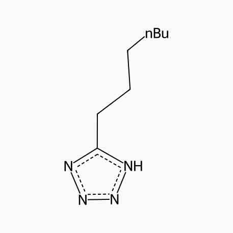 [CH2]CCCCCCc1nnn[nH]1